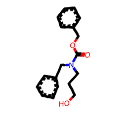 O=C(OCc1ccccc1)N(CCCO)Cc1ccccc1